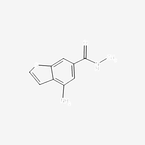 CNC(=O)c1cc(N)c2ccsc2c1